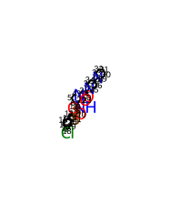 O=C(CN1CCC[C@H](NS(=O)(=O)c2cc3ccc(Cl)cc3s2)C1=O)N1CCC(N2CCCCC2)CC1